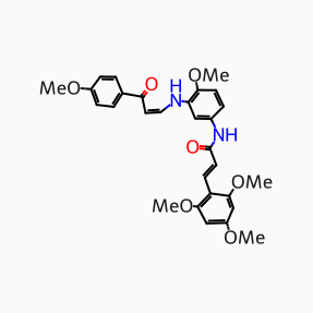 COc1ccc(C(=O)/C=C\Nc2cc(NC(=O)/C=C/c3c(OC)cc(OC)cc3OC)ccc2OC)cc1